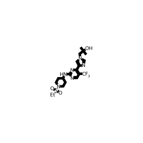 CCS(=O)(=O)N1CCC(Nc2ncc(C(F)(F)F)c(-c3cn(CC(C)(C)O)cn3)n2)CC1